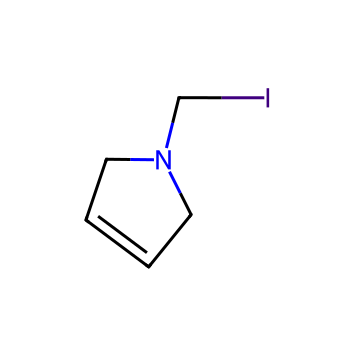 ICN1CC=CC1